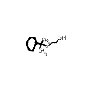 CC(C)(SCCO)c1ccccc1